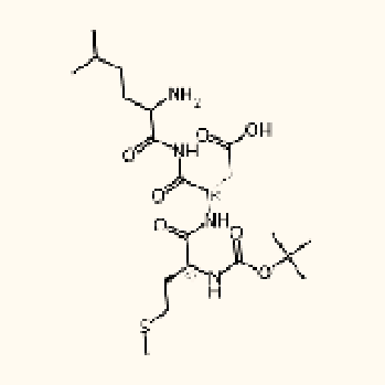 CSCC[C@H](NC(=O)OC(C)(C)C)C(=O)N[C@@H](CC(=O)O)C(=O)NC(=O)C(N)CCC(C)C